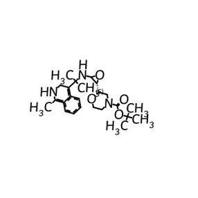 CC1=c2ccccc2=C(C(C)(C)NC2OC2[C@@H]2CN(C(=O)OC(C)(C)C)CCO2)CN1